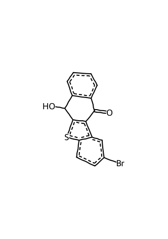 O=C1c2ccccc2C(O)c2sc3ccc(Br)cc3c21